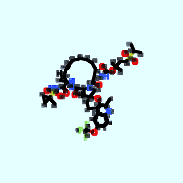 Cc1nc2ccc(OC(F)(F)F)cc2c2c1O[C@]1(CC2)C[C@H]2C(=O)N[C@]3(C(=O)NS(=O)(=O)C4(C)CC4)C[C@H]3/C=C\CCCCC[C@H](NC(=O)OC(C)(C)CCS(=O)(=O)C(C)C)C(=O)N2C1